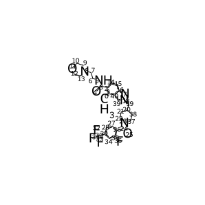 Cc1c(C(=O)NCCN2CCOCC2)ccc2nn(CC3CCN(C(=O)c4ccc(C(F)(F)F)cc4F)CC3)cc12